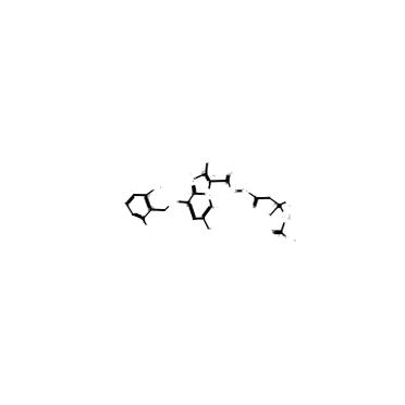 Cc1cc(OCc2c(F)cccc2F)c2nc(C)c(C(=O)NNC(=O)CC(C)(C)NC(=O)O)n2c1